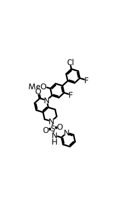 COc1cc(-c2cc(F)cc(Cl)c2)c(F)cc1-n1c2c(ccc1=O)CN(S(=O)(=O)Nc1ccccn1)CC2